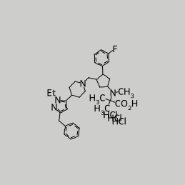 CCn1nc(Cc2ccccc2)cc1C1CCN(CC2CC(N(C)C(C)(C)C(=O)O)CC2c2cccc(F)c2)CC1.Cl.Cl.Cl